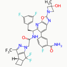 CC1(O)CN(c2nc3cc(-c4ccc(F)c(C(N)=O)c4)c([C@H](Cc4cc(F)cc(F)c4)NC(=O)Cn4nc(C(F)(F)F)c5c4C(F)(F)C4CC[C@H]54)nc3o2)C1